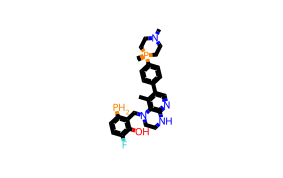 C=P1(c2ccc(-c3cnc4c(c3C)N(Cc3c(P)ccc(F)c3O)CCN4)cc2)CCN(C)CC1